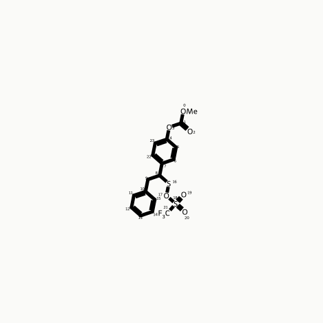 COC(=O)Oc1ccc(C(Cc2ccccc2)SOS(=O)(=O)C(F)(F)F)cc1